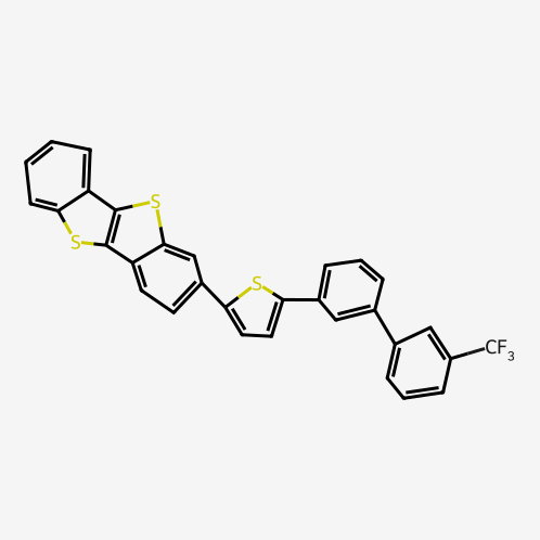 FC(F)(F)c1cccc(-c2cccc(-c3ccc(-c4ccc5c(c4)sc4c6ccccc6sc54)s3)c2)c1